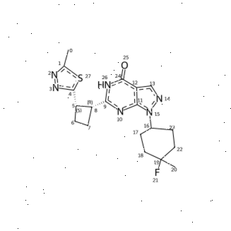 Cc1nnc([C@H]2CC[C@H]2c2nc3c(cnn3C3CCC(C)(F)CC3)c(=O)[nH]2)s1